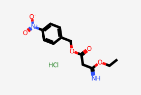 CCOC(=N)CC(=O)OCc1ccc([N+](=O)[O-])cc1.Cl